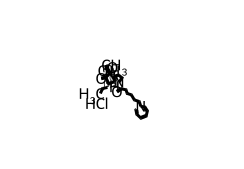 CCC[C@@H]1C(=O)N(S(C)(=O)=O)[C@@H]2CCN(C(=O)CCCCCN3C=CC=CC=C3)[C@@H]12.Cl